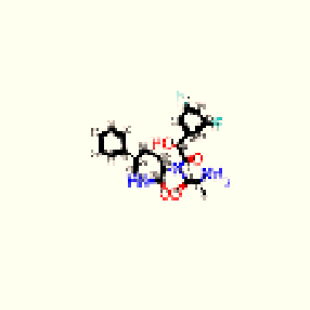 C[C@H](N)C(=O)N(C(=O)[C@@H](O)c1cc(F)cc(F)c1)[C@H]1CC[C@H](c2ccccc2)CNC1=O